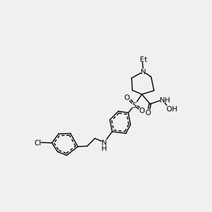 CCN1CCC(C(=O)NO)(S(=O)(=O)c2ccc(NCCc3ccc(Cl)cc3)cc2)CC1